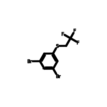 FC(F)(F)CSc1cc(Br)[c]c(Br)c1